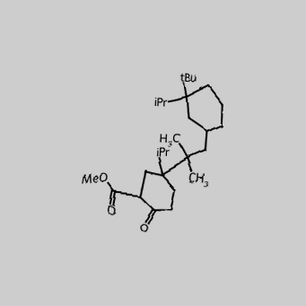 COC(=O)C1CC(C(C)C)(C(C)(C)CC2CCCC(C(C)C)(C(C)(C)C)C2)CCC1=O